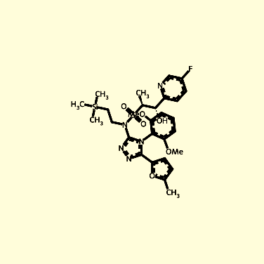 COc1cccc(OC)c1-n1c(-c2ccc(C)o2)nnc1N(CC[Si](C)(C)C)S(=O)(=O)[C@@H](C)[C@@H](O)c1ccc(F)cn1